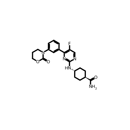 NC(=O)[C@H]1CC[C@H](Nc2ncc(F)c(-c3cccc(N4CCCOC4=O)c3)n2)CC1